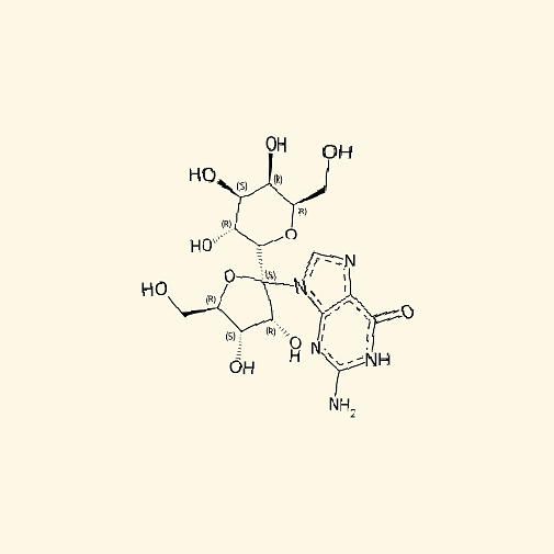 Nc1nc2c(ncn2[C@]2(C3O[C@H](CO)[C@H](O)[C@H](O)[C@H]3O)O[C@H](CO)[C@@H](O)[C@H]2O)c(=O)[nH]1